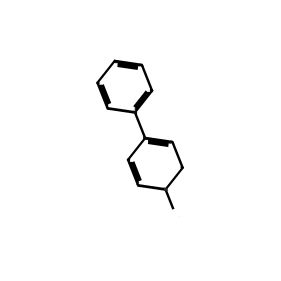 BrC1C=CC(c2ccccc2)=CC1